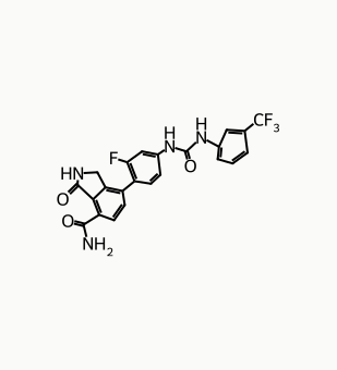 NC(=O)c1ccc(-c2ccc(NC(=O)Nc3cccc(C(F)(F)F)c3)cc2F)c2c1C(=O)NC2